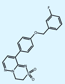 O=S1(=O)CCN2N=CC=C(c3ccc(OCc4cccc(F)c4)cc3)C2=N1